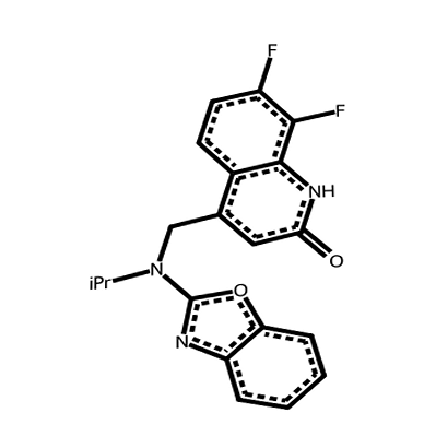 CC(C)N(Cc1cc(=O)[nH]c2c(F)c(F)ccc12)c1nc2ccccc2o1